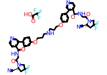 N#C[C@@H]1CC(F)(F)CN1C(=O)CNC(=O)c1ccncc1-c1ccc(OCCCNCCCOc2ccc(-c3cnccc3C(=O)NCC(=O)N3CC(F)(F)C[C@H]3C#N)cc2)cc1.O=C(O)C(F)(F)F